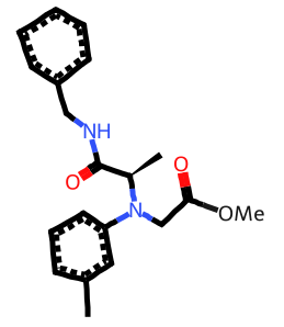 COC(=O)CN(c1cccc(C)c1)[C@H](C)C(=O)NCc1ccccc1